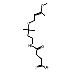 CO/C(C)=C/COC(C)(C)CCNC(=O)CCC(=O)O